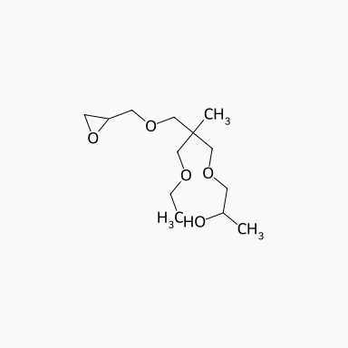 CCOCC(C)(COCC(C)O)COCC1CO1